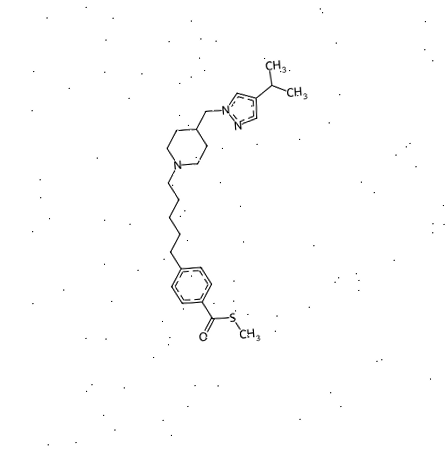 CSC(=O)c1ccc(CCCCCN2CCC(Cn3cc(C(C)C)cn3)CC2)cc1